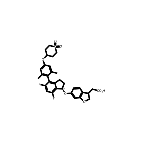 Cc1cc(OC2CCS(=O)(=O)CC2)cc(C)c1-c1c(F)cc(F)c2c1CC[C@H]2Oc1ccc2c(c1)OCC2CC(=O)O